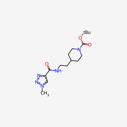 Cn1cc(C(=O)NCCC2CCN(C(=O)OC(C)(C)C)CC2)nn1